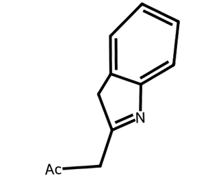 CC(=O)CC1=Nc2ccccc2C1